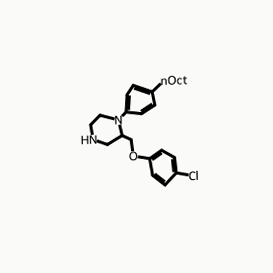 CCCCCCCCc1ccc(N2CCNCC2COc2ccc(Cl)cc2)cc1